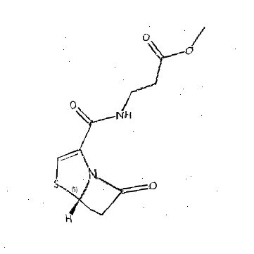 COC(=O)CCNC(=O)C1=CS[C@H]2CC(=O)N12